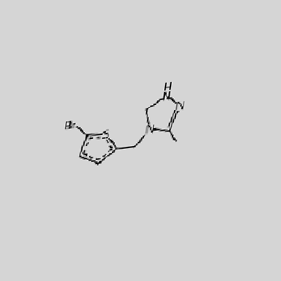 CC1=NNCN1Cc1ccc(Br)s1